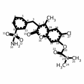 Cc1c(Cc2cccc(S(N)(=O)=O)c2)c(=O)oc2cc(OC(=O)N(C)C)c(Cl)cc12